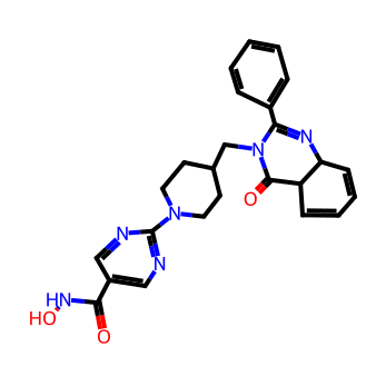 O=C(NO)c1cnc(N2CCC(CN3C(=O)C4C=CC=CC4N=C3c3ccccc3)CC2)nc1